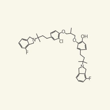 CC(COc1cc(CCC(C)(C)N2Cc3cccc(F)c3C2)ccc1O)COc1ccc(CCC(C)(C)N2Cc3cccc(F)c3C2)cc1Cl